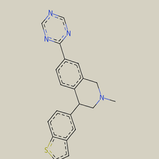 CN1Cc2cc(-c3ncncn3)ccc2C(c2ccc3sccc3c2)C1